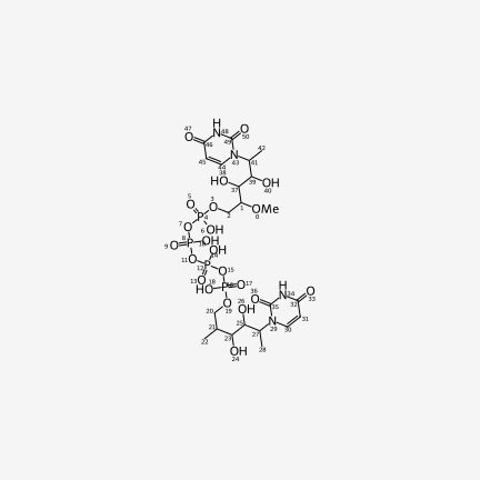 COC(COP(=O)(O)OP(=O)(O)OP(=O)(O)OP(=O)(O)OCC(C)C(O)C(O)C(C)n1ccc(=O)[nH]c1=O)C(O)C(O)C(C)n1ccc(=O)[nH]c1=O